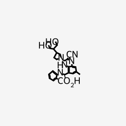 Cc1cc([C@@H](C)Nc2ccccc2C(=O)O)c2nc(N3CCC(C(CO)CO)C3)c(C#N)nc2c1